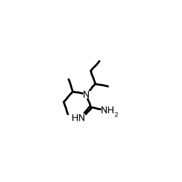 CCC(C)N(C(=N)N)C(C)CC